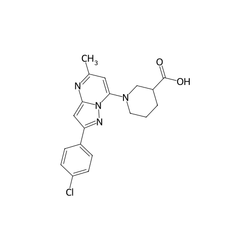 Cc1cc(N2CCCC(C(=O)O)C2)n2nc(-c3ccc(Cl)cc3)cc2n1